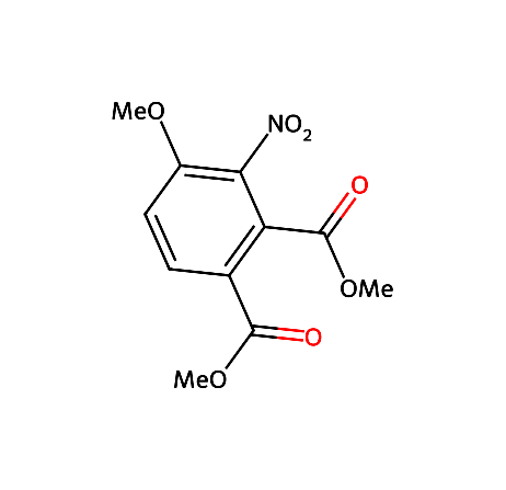 COC(=O)c1ccc(OC)c([N+](=O)[O-])c1C(=O)OC